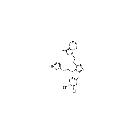 Cn1cc(CCc2nnc(Cc3ccc(Cl)c(Cl)c3)n2CCCc2c[nH]cn2)c2ccccc21